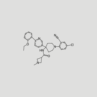 CCOc1ccccc1-c1ccc(C2(NC(=O)C3CN(C)C3)CCN(c3ccc(Cl)cc3C#N)CC2)cn1